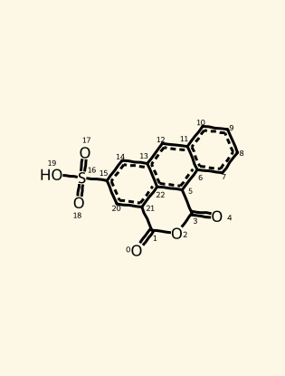 O=C1OC(=O)c2c3ccccc3cc3cc(S(=O)(=O)O)cc1c23